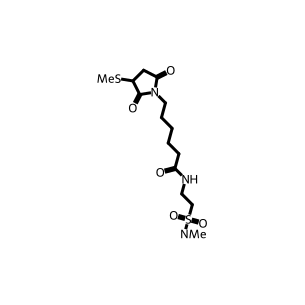 CNS(=O)(=O)CCNC(=O)CCCCCN1C(=O)CC(SC)C1=O